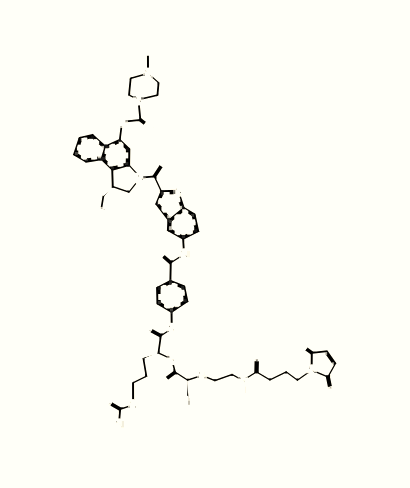 CC(C)[C@H](NCCNC(=O)CCCN1C(=O)C=CC1=O)C(=O)N[C@@H](CCCNC(N)=O)C(=O)Nc1ccc(C(=O)Nc2ccc3[nH]c(C(=O)N4C[C@@H](CCl)c5c4cc(OC(=O)N4CCN(C)CC4)c4ccccc54)cc3c2)cc1